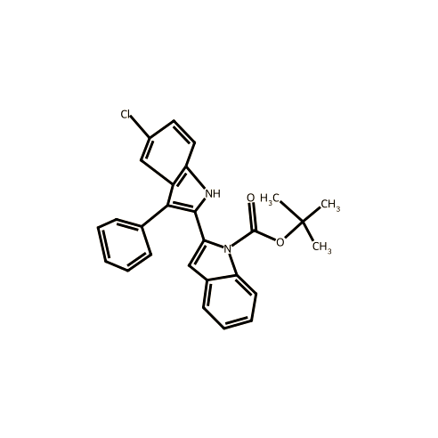 CC(C)(C)OC(=O)n1c(-c2[nH]c3ccc(Cl)cc3c2-c2ccccc2)cc2ccccc21